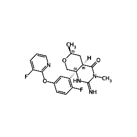 C[C@H]1C[C@H]2C(=O)N(C)C(=N)N[C@@]2(c2cc(Oc3ncccc3F)ccc2F)CO1